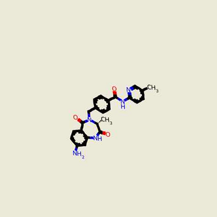 Cc1ccc(NC(=O)c2ccc(CN3C(=O)c4ccc(N)cc4NC(=O)[C@H]3C)cc2)nc1